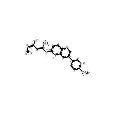 COc1ccc(-c2cnc3ccc(N/C(N)=C/C(=C\N)C(C)C)nc3c2)cn1